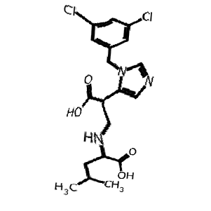 CC(C)CC(NCC(C(=O)O)c1cncn1Cc1cc(Cl)cc(Cl)c1)C(=O)O